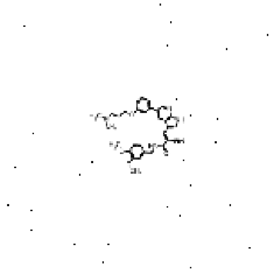 COc1ccc(CNC(=O)/C(C#N)=C/c2c[nH]c3ncc(-c4cccc(OCCCN(C)C)c4)cc23)cc1OC